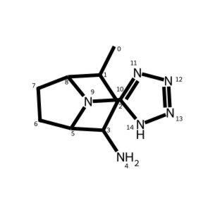 CC1CC(N)C2CCC1N2c1nnn[nH]1